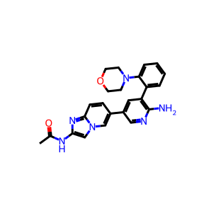 CC(=O)Nc1cn2cc(-c3cnc(N)c(-c4ccccc4N4CCOCC4)c3)ccc2n1